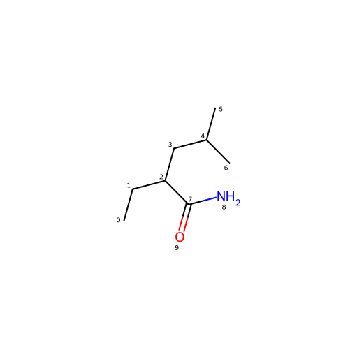 CCC(CC(C)C)C(N)=O